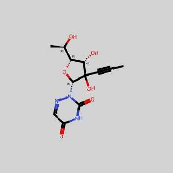 CC#CC1(O)[C@@H](O)[C@@H]([C@@H](C)O)O[C@H]1n1ncc(=O)[nH]c1=O